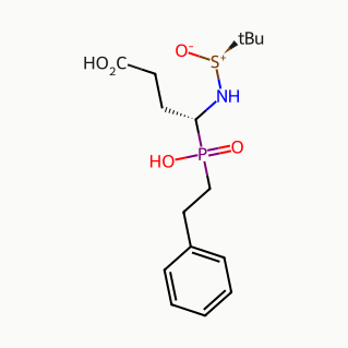 CC(C)(C)[S@+]([O-])N[C@@H](CCC(=O)O)P(=O)(O)CCc1ccccc1